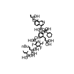 C=CB(O)O.CC=C(C)B(O)O.CCCCC=CB(O)O.OB(O)C1=CCCCC1.OB(O)C=Cc1ccccc1.OB(O)c1cncc2ccccc12.OB(O)c1nc(F)c(F)c(F)c1F